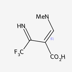 CN/C=C(\C(=N)C(F)(F)F)C(=O)O